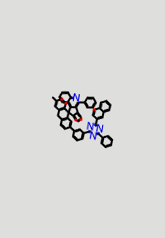 Cc1ccc2c(c1)Cc1ccc(-c3cccc(-c4nc(-c5ccccc5)nc(-c5ccc6ccccc6c5)n4)c3)cc1C21c2ccccc2-c2c(-c3ccccc3)nc3ccccc3c21